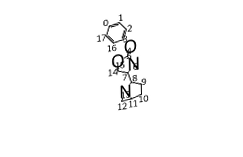 c1ccc(OC2=NC(C3CCC4CN43)CO2)cc1